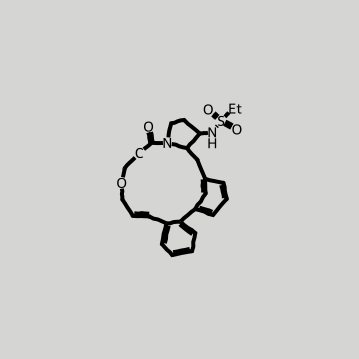 CCS(=O)(=O)NC1CCN2C(=O)CCOC/C=C/c3ccccc3-c3cccc(c3)CC12